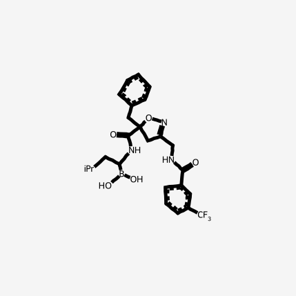 CC(C)CC(NC(=O)C1(Cc2ccccc2)CC(CNC(=O)c2cccc(C(F)(F)F)c2)=NO1)B(O)O